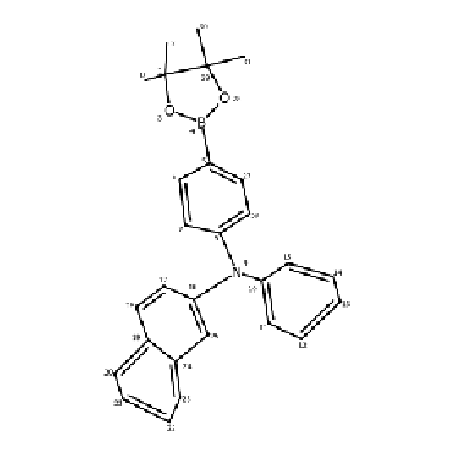 CC1(C)OB(c2ccc(N(c3ccccc3)c3ccc4ccccc4c3)cc2)OC1(C)C